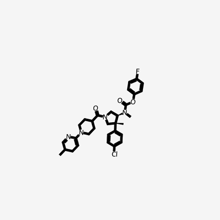 CC1C=NC(N2CCC(C(=O)N3C[C@@H](N(C)C(=O)Oc4ccc(F)cc4)[C@](C)(c4ccc(Cl)cc4)C3)CC2)=CC1